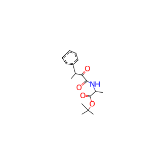 CC(NC(=O)C(=O)C(C)c1ccccc1)C(=O)OC(C)(C)C